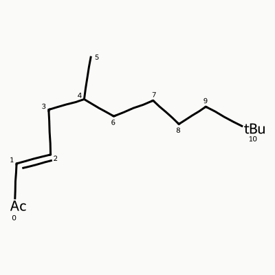 CC(=O)C=CCC(C)CCCCC(C)(C)C